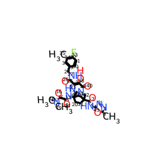 Cc1nnc(NC(=O)C23CCC(NC(=O)C(=O)N(C)C)(CC2)c2nc(C(=O)NCc4ccc(F)c(C)c4)c(O)c(=O)n2C3)o1